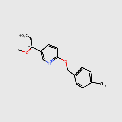 CCO[C@@H](CC(=O)O)c1ccc(OCc2ccc(C)cc2)nc1